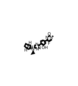 Cn1cc(F)c(-c2ccc(-c3ncc(N(C4CC4)[C@@H]4C[C@H]5CC[C@@H](C4)N5)nn3)c(O)c2)nc1=O